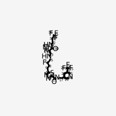 N=N/C(=C\NCC(F)CCc1nnc(C(=O)NCc2cncc(C(F)(F)F)c2)s1)C(=O)NCCC(F)(F)F